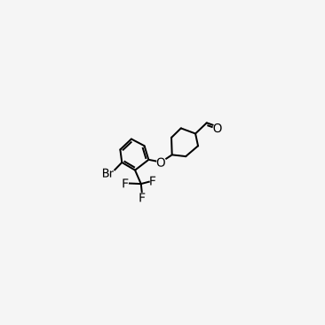 O=CC1CCC(Oc2cccc(Br)c2C(F)(F)F)CC1